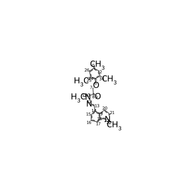 Cc1cc(C)c(OCC(=O)N(C)N=Cc2cccc3c2ccn3C)c(C)c1